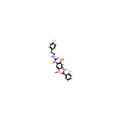 COc1cc(N(S)C(=O)NCCc2ccc(F)cc2)c(OC)cc1NC(=O)c1ccccc1F